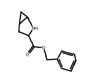 O=C(OCc1ccccc1)C1CC2CC2N1